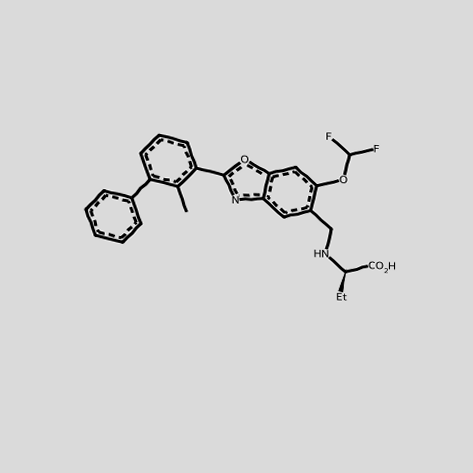 CC[C@@H](NCc1cc2nc(-c3cccc(-c4ccccc4)c3C)oc2cc1OC(F)F)C(=O)O